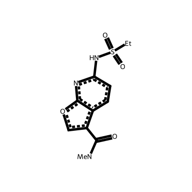 CCS(=O)(=O)Nc1ccc2c(C(=O)NC)coc2n1